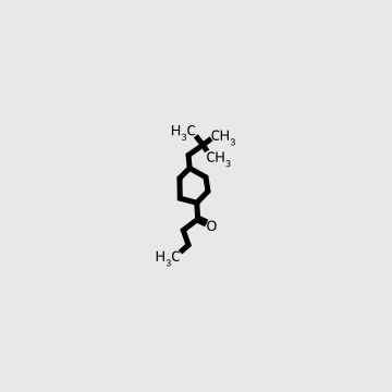 CCCC(=O)C1CCC(CC(C)(C)C)CC1